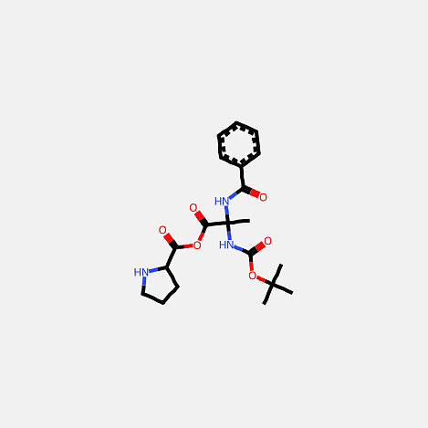 CC(C)(C)OC(=O)NC(C)(NC(=O)c1ccccc1)C(=O)OC(=O)C1CCCN1